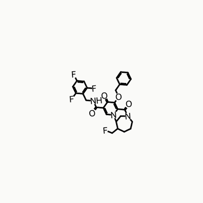 O=C(NCc1c(F)cc(F)cc1F)c1cn2c(c(OCc3ccccc3)c1=O)C(=O)N1CCCC(CF)C2C1